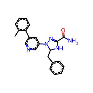 Cc1ccccc1-c1cncc(N2N=C(C(N)=O)NC2Cc2ccccc2)c1